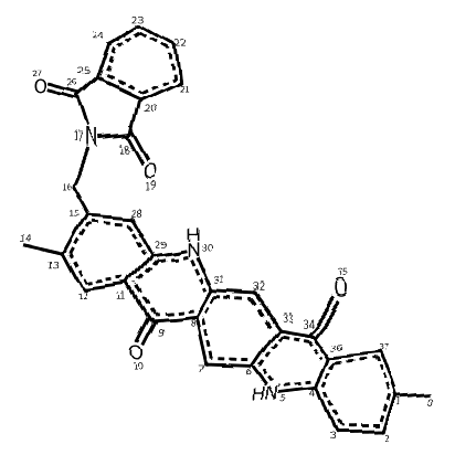 Cc1ccc2[nH]c3cc4c(=O)c5cc(C)c(CN6C(=O)c7ccccc7C6=O)cc5[nH]c4cc3c(=O)c2c1